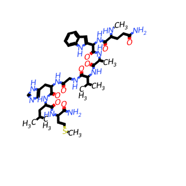 CNC(CCC(N)=O)C(=O)NC(C(=O)NC(C)C(=O)NC(C(=O)NCC(=O)NC(Cc1cnc[nH]1)C(=O)NC(CC(C)C)C(=O)NC(CCSC)C(N)=O)C(C)C)c1cc2ccccc2[nH]1